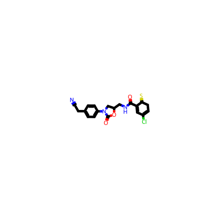 N#CCc1ccc(N2CC(CNC(=O)C3=CC(Cl)=CCC3=S)OC2=O)cc1